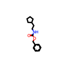 O=C(NCCC1CCCC1)OCc1ccccc1